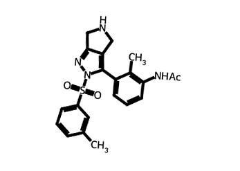 CC(=O)Nc1cccc(-c2c3c(nn2S(=O)(=O)c2cccc(C)c2)CNC3)c1C